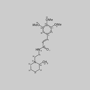 COc1cc(/C=C/C(=O)NCCN2CCCCC2C)cc(OC)c1OC